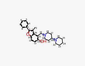 Cc1c(-c2ccccc2)oc2ccc(O)c(CN3CCC(N4CCCCC4)CC3)c12